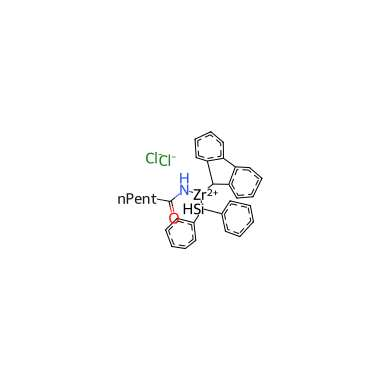 CCCCCC(=O)[NH][Zr+2]([CH]1c2ccccc2-c2ccccc21)[SiH](c1ccccc1)c1ccccc1.[Cl-].[Cl-]